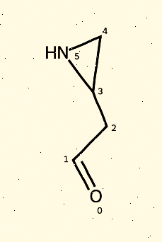 O=CCC1CN1